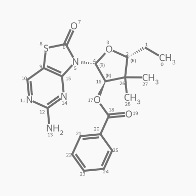 CC[C@H]1O[C@@H](n2c(=O)sc3cnc(N)nc32)[C@H](OC(=O)c2ccccc2)C1(C)C